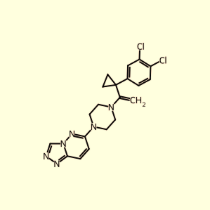 C=C(N1CCN(c2ccc3nncn3n2)CC1)C1(c2ccc(Cl)c(Cl)c2)CC1